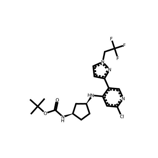 CC(C)(C)OC(=O)N[C@@H]1CC[C@H](Nc2cc(Cl)ncc2-c2ccn(CC(F)(F)F)n2)C1